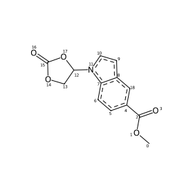 COC(=O)c1ccc2c(ccn2C2COC(=O)O2)c1